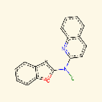 ClN(c1ccc2ccccc2n1)c1bc2ccccc2o1